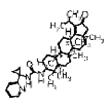 CC(C)C1=C2[C@H]3CC[C@@H]4[C@@]5(C)CCC(NC(=O)NC6(c7ccccn7)CC6)C(C)(C)[C@@H]5CC[C@@]4(C)[C@]3(C)CC[C@@]2(C)CC1=O